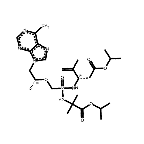 C=C(C)[C@H](CC(=O)OC(C)C)NP(=O)(CO[C@H](C)Cn1cnc2c(N)ncnc21)NC(C)(C)C(=O)OC(C)C